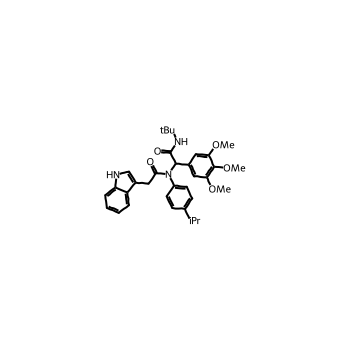 COc1cc(C(C(=O)NC(C)(C)C)N(C(=O)Cc2c[nH]c3ccccc23)c2ccc(C(C)C)cc2)cc(OC)c1OC